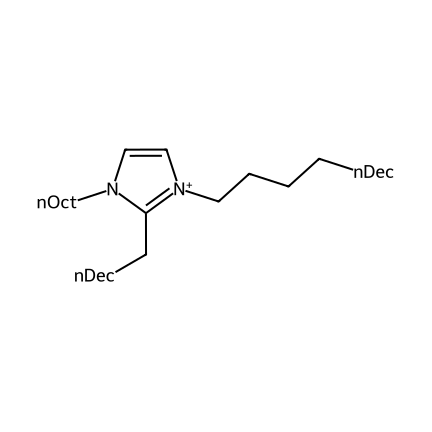 CCCCCCCCCCCCCC[n+]1ccn(CCCCCCCC)c1CCCCCCCCCCC